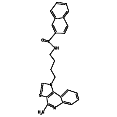 Nc1nc2ccccc2c2c1ncn2CCCCNC(=O)c1ccc2ccccc2c1